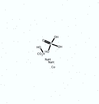 O=C(O)O.O=P(O)(O)O.[Co].[NaH].[NaH]